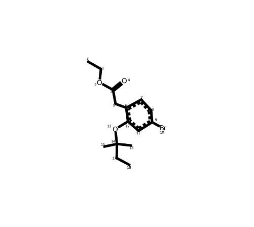 CCOC(=O)Cc1ccc(Br)cc1OC(C)(C)CC